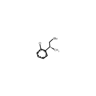 C[C@H](CC(C)(C)C)c1ccccc1Cl